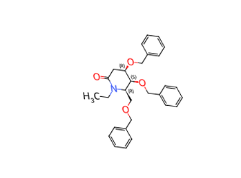 CCN1C(=O)C[C@@H](OCc2ccccc2)[C@@H](OCc2ccccc2)[C@H]1COCc1ccccc1